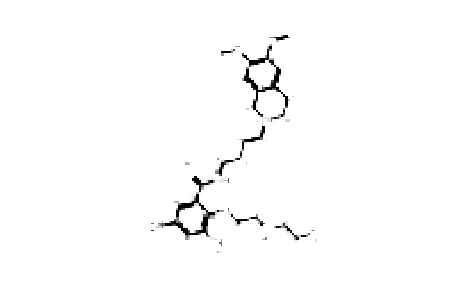 COc1cc2c(cc1OC)CN(CCCCNC(=O)c1cc(Br)cc(O)c1OCCOCCO)CC2